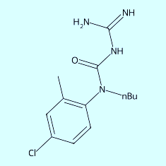 CCCCN(C(=O)NC(=N)N)c1ccc(Cl)cc1C